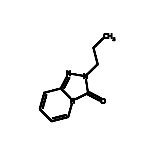 CCCn1nc2ccccn2c1=O